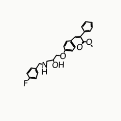 COC(=O)C(=Cc1ccc(OCC(O)CNCc2ccc(F)cc2)cc1)c1ccccc1